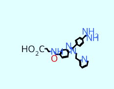 N=C(N)c1ccc(-c2nc3cc(C(=O)NCCC(=O)O)ccc3n2CCc2ccccn2)cc1